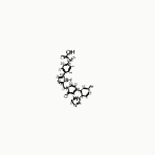 Cc1ccc(-n2cnnn2)c(-c2ccn(Cc3ncc(-c4ccc(N(C)C(=O)O)cc4)[nH]3)c(=O)c2)c1